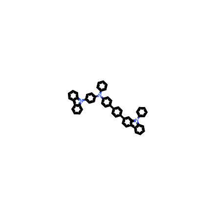 c1ccc(N(c2ccc(-c3ccc(-c4ccc5c6ccccc6n(-c6ccccc6)c5c4)cc3)cc2)c2ccc(-n3c4ccccc4c4ccccc43)cc2)cc1